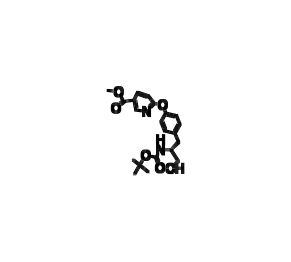 COC(=O)c1ccc(Oc2ccc(C[C@@H](CO)NC(=O)OC(C)(C)C)cc2)nc1